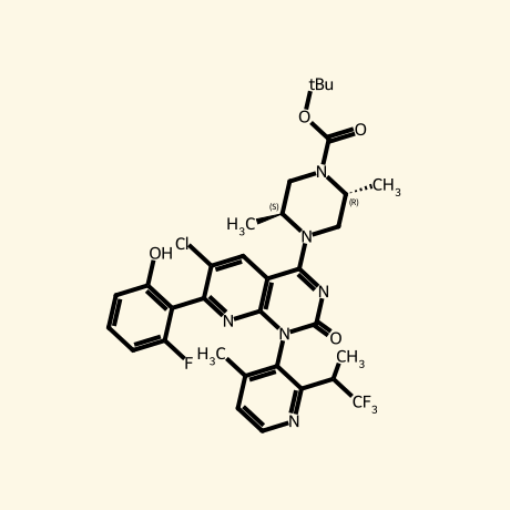 Cc1ccnc(C(C)C(F)(F)F)c1-n1c(=O)nc(N2C[C@@H](C)N(C(=O)OC(C)(C)C)C[C@@H]2C)c2cc(Cl)c(-c3c(O)cccc3F)nc21